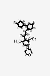 CCSc1nc(N2CCOCC2)cc(C)c1C(=O)NCc1ccc(F)cc1-c1ccc(F)cc1